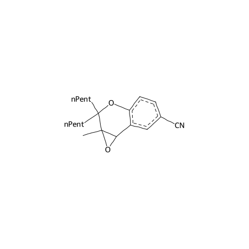 CCCCCC1(CCCCC)Oc2ccc(C#N)cc2C2OC21C